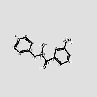 Cc1cccc(C(=O)[NH+]([O-])Cc2ccncc2)c1